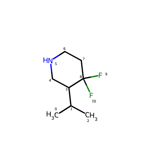 CC(C)C1CNCCC1(F)F